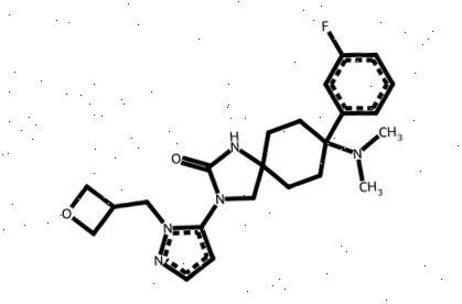 CN(C)C1(c2cccc(F)c2)CCC2(CC1)CN(c1ccnn1CC1COC1)C(=O)N2